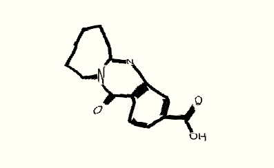 O=C(O)c1ccc2c(=O)n3c(nc2c1)CCCCCC3